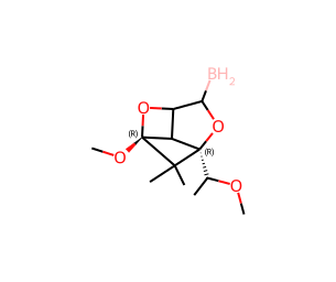 BC1O[C@]2(C(C)OC)C3C1O[C@@]3(OC)C2(C)C